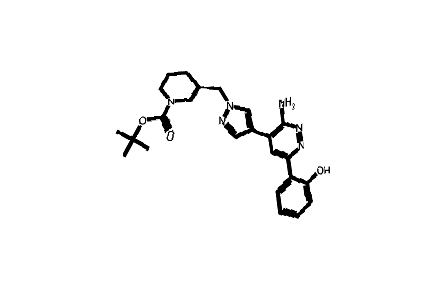 CC(C)(C)OC(=O)N1CCC[C@@H](Cn2cc(-c3cc(-c4ccccc4O)nnc3N)cn2)C1